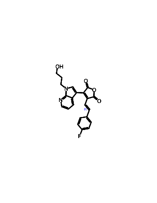 O=C1OC(=O)C(c2cn(CCCO)c3ncccc23)=C1/C=C/c1ccc(F)cc1